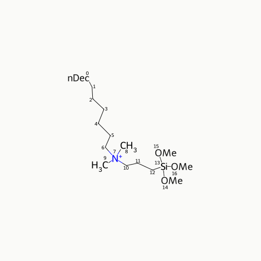 CCCCCCCCCCCCCCCC[N+](C)(C)CCC[Si](OC)(OC)OC